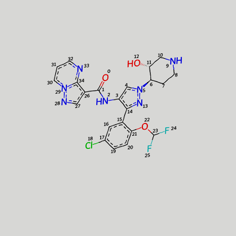 O=C(Nc1cn([C@@H]2CCNC[C@H]2O)nc1-c1cc(Cl)ccc1OC(F)F)c1cnn2cccnc12